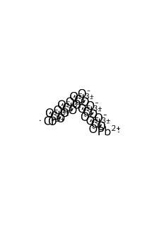 [Cr+3].[O-][Cl+3]([O-])([O-])[O-].[O-][Cl+3]([O-])([O-])[O-].[O-][Cl+3]([O-])([O-])[O-].[O-][Cl+3]([O-])([O-])[O-].[O-][Cl+3]([O-])([O-])[O-].[Pb+2]